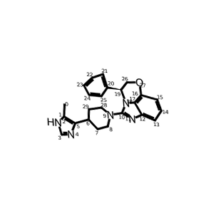 Cc1[nH]cnc1C1CCN(c2nc3cccc4c3n2[C@@H](c2ccccc2)CO4)CC1